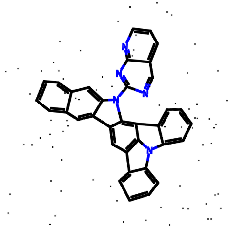 c1ccc2cc3c(cc2c1)c1cc2c4ccccc4n4c5ccccc5c(c1n3-c1ncc3cccnc3n1)c24